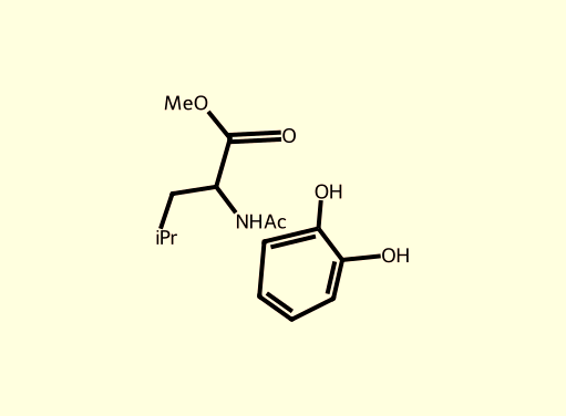 COC(=O)C(CC(C)C)NC(C)=O.Oc1ccccc1O